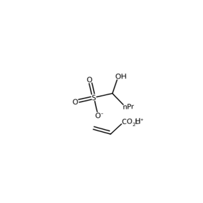 C=CC(=O)O.CCCC(O)S(=O)(=O)[O-].[Li+]